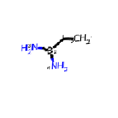 [CH2]CB(N)N